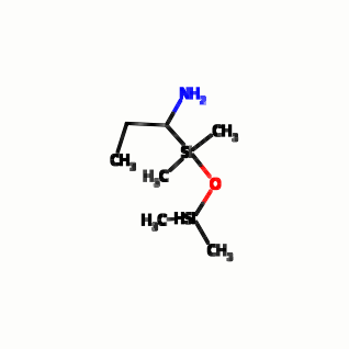 CCC(N)[Si](C)(C)O[SiH](C)C